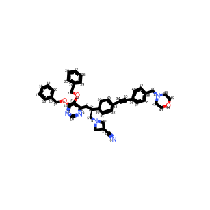 N#CC1CN(C[C@@H](Cc2ncnc(OCc3ccccc3)c2OCc2ccccc2)C2C=CC(C#Cc3ccc(CN4CCOCC4)cc3)=CC2)C1